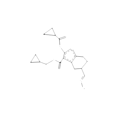 O=C(NCC1CC1)c1c(NC(=O)C2CC2)sc2c1CC(C=NO)CC2